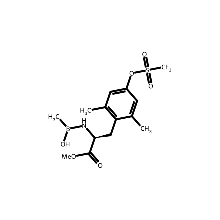 COC(=O)[C@H](Cc1c(C)cc(OS(=O)(=O)C(F)(F)F)cc1C)NB(C)O